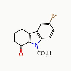 O=C1CCCc2c1n(C(=O)O)c1ccc(Br)cc21